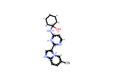 N#Cc1ccc2ncc(-c3nccc(NC4(O)CCCCC4)n3)n2c1